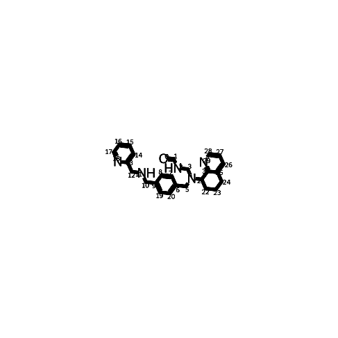 O=CNCN(Cc1ccc(CNCc2ccccn2)cc1)C1CCCc2cccnc21